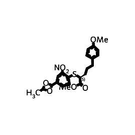 COC(=O)[C@H](CCCc1ccc(OC)cc1)Sc1ccc(C2OC(C)O2)cc1[N+](=O)[O-]